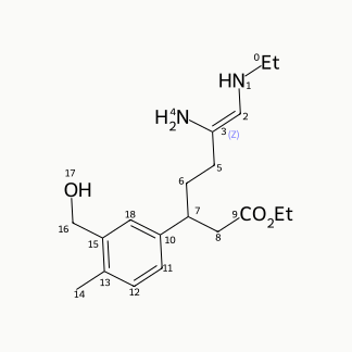 CCN/C=C(\N)CCC(CC(=O)OCC)c1ccc(C)c(CO)c1